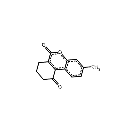 Cc1ccc2c3c(c(=O)oc2c1)CCCC3=O